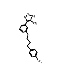 N#Cc1[nH]nnc1-c1cccc(OCCCc2ccc(C(F)(F)F)cc2)c1